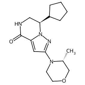 C[C@@H]1COCCN1c1cc2n(n1)[C@H](C1CCCC1)CNC2=O